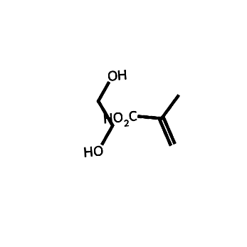 C=C(C)C(=O)O.OCCO